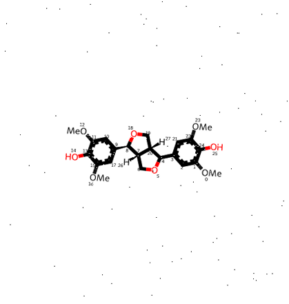 COc1cc(C2OC[C@@H]3[C@@H](c4cc(OC)c(O)c(OC)c4)OC[C@H]23)cc(OC)c1O